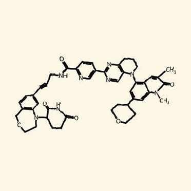 Cc1cc2c(N3CCCc4nc(-c5ccc(C(=O)NCC#Cc6ccc7c(c6)N(C6CCC(=O)NC6=O)CCCC7)nc5)ncc43)cc(C3CCOCC3)cc2n(C)c1=O